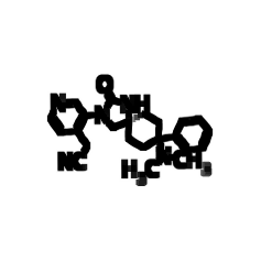 CN(C)[C@]1(c2ccccc2)CC[C@]2(CC1)CN(c1cnccc1CC#N)C(=O)N2